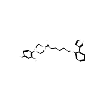 O=C(CCCCCSc1ccccc1-c1ccoc1)N1CCN(c2ccc(F)cc2F)CC1